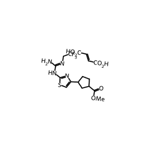 COC(=O)C1CCC(c2csc(NC(N)=NCC(F)(F)F)n2)C1.O=C(O)C=CC(=O)O